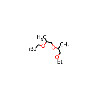 CCOCC(C)OCC(C)OCC(C)CC